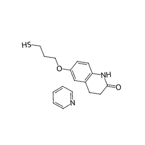 O=C1CCc2cc(OCCCS)ccc2N1.c1ccncc1